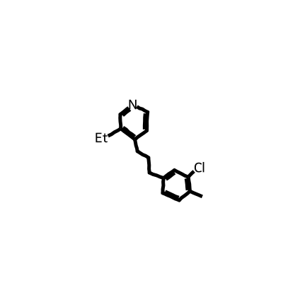 CCc1cnccc1CCCc1ccc(C)c(Cl)c1